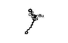 CCCCC(CC(C#N)C(=O)Oc1ccccc1)c1ncc(CCCCCCCCC2CCCC2)cn1